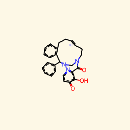 O=C1c2c(O)c(=O)ccn2N2CN1CC/C=C/CCc1ccccc1C2c1ccccc1